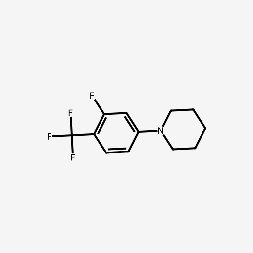 Fc1cc(N2CCCCC2)ccc1C(F)(F)F